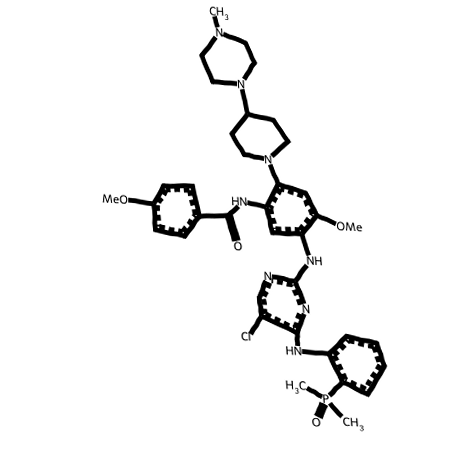 COc1ccc(C(=O)Nc2cc(Nc3ncc(Cl)c(Nc4ccccc4P(C)(C)=O)n3)c(OC)cc2N2CCC(N3CCN(C)CC3)CC2)cc1